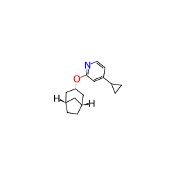 c1cc(C2CC2)cc(O[C@@H]2C[C@@H]3CC[C@@H](C3)C2)n1